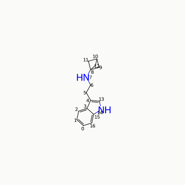 c1ccc2c(CCNC34CC(C3)C4)c[nH]c2c1